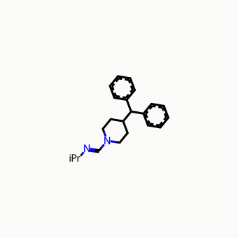 CC(C)N=CN1CCC(C(c2ccccc2)c2ccccc2)CC1